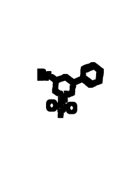 CS(=O)(=O)N1CC(Br)CC(c2ccccc2)C1